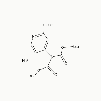 CC(C)(C)OC(=O)N(C(=O)OC(C)(C)C)c1ccnc(C(=O)[O-])c1.[Na+]